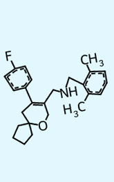 Cc1cccc(C)c1CNCC1=C(c2ccc(F)cc2)CC2(CCCC2)OC1